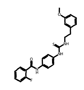 COc1cccc(CCNC(=S)Nc2ccc(NC(=O)c3ccccc3F)cc2)c1